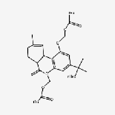 C=C(C)C1CCC(C)=CC1c1c(OCOC(=O)C(C)(C)C)cc(C(C)(C)CCCCCC)cc1OCOC(=O)C(C)(C)C